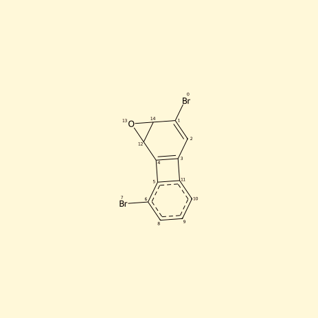 BrC1=CC2=C(c3c(Br)cccc32)C2OC12